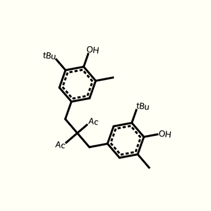 CC(=O)C(Cc1cc(C)c(O)c(C(C)(C)C)c1)(Cc1cc(C)c(O)c(C(C)(C)C)c1)C(C)=O